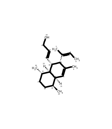 C/C=C(/C)[C@@H]1C(C)=C[C@@H]2[C@H]([C@@H]1/C=C/CO)[C@@H](C)CC[C@@H]2C